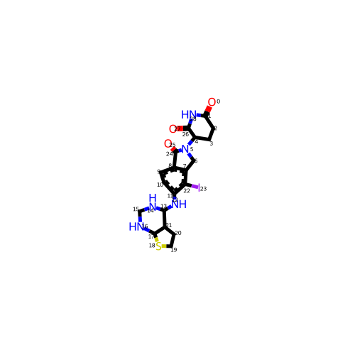 O=C1CCC(N2Cc3c(ccc(NC4NCNC5SCCC45)c3I)C2=O)C(=O)N1